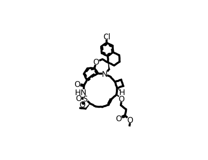 CC[C@@H]1CC/C=C/[C@H](OCCC(=O)OC)[C@@H]2CCC2CN2C[C@@]3(CCCc4cc(Cl)ccc43)COc3ccc(cc32)C(=O)NS1(=O)=O